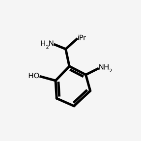 CC(C)C(N)c1c(N)cccc1O